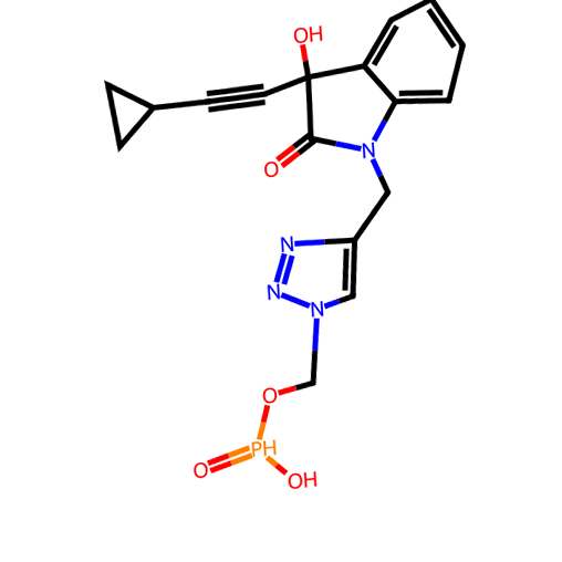 O=C1N(Cc2cn(CO[PH](=O)O)nn2)c2ccccc2C1(O)C#CC1CC1